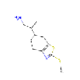 CCSc1nc2c(s1)CC(C(C)CN)CC2